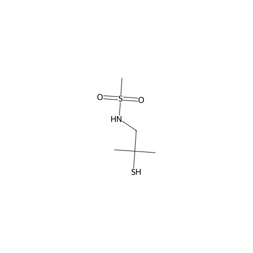 CC(C)(S)CNS(C)(=O)=O